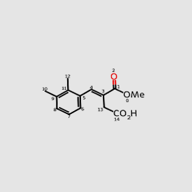 COC(=O)/C(=C/c1cccc(C)c1C)CC(=O)O